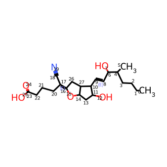 CCCCC(C)C(O)/C=C/C1C(O)CC2O/C(=C(/C#N)CCCC(=O)O)CC21